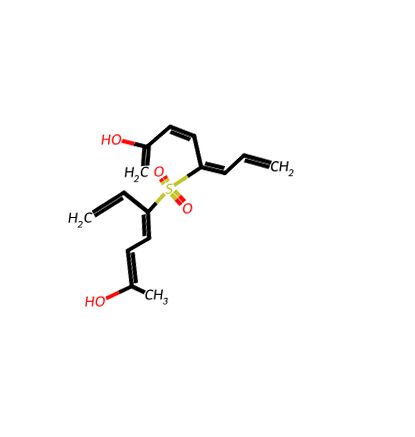 C=C/C=C(\C=C/C(=C)O)S(=O)(=O)/C(C=C)=C/C=C(\C)O